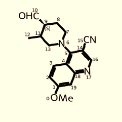 COc1ccc2c(N3CC[C@H](C=O)C(C)C3)c(C#N)cnc2c1